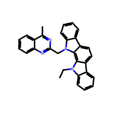 CCn1c2ccccc2c2ccc3c4ccccc4n(Cc4nc(C)c5ccccc5n4)c3c21